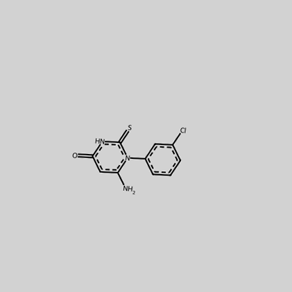 Nc1cc(=O)[nH]c(=S)n1-c1cccc(Cl)c1